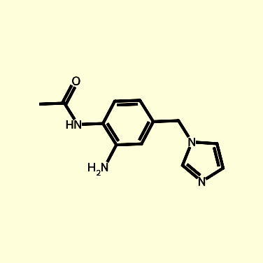 CC(=O)Nc1ccc(Cn2ccnc2)cc1N